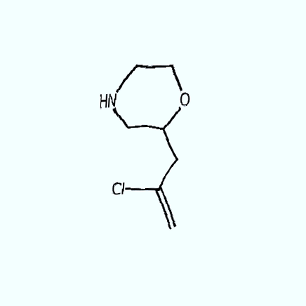 C=C(Cl)CC1CNCCO1